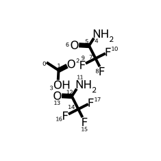 CC(=O)O.NC(=O)C(F)(F)F.NC(=O)C(F)(F)F